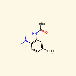 CCCCC(=O)Nc1cc(C(=O)O)ccc1N(C)C